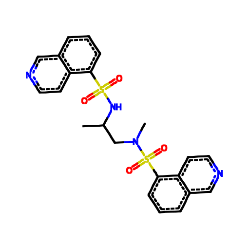 CC(CN(C)S(=O)(=O)c1cccc2cnccc12)NS(=O)(=O)c1cccc2cnccc12